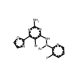 CC(=O)N(Nc1nc(N)nc(-c2ncco2)c1Br)c1ncccc1F